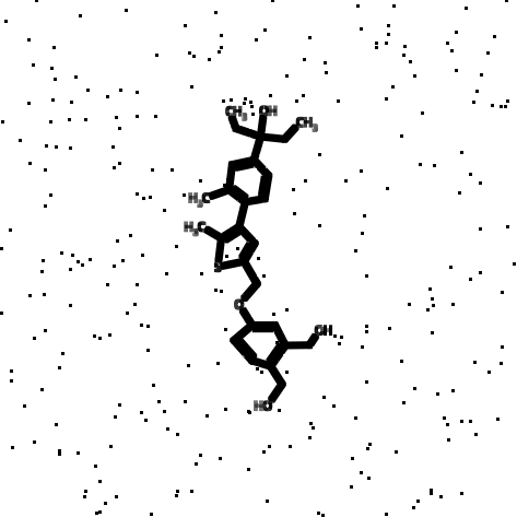 CCC(O)(CC)c1ccc(-c2cc(COc3ccc(CO)c(CO)c3)sc2C)c(C)c1